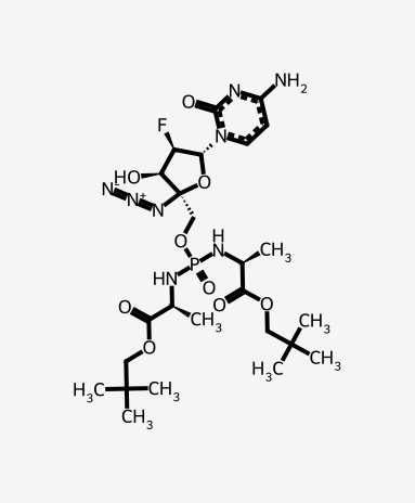 C[C@H](NP(=O)(N[C@@H](C)C(=O)OCC(C)(C)C)OC[C@@]1(N=[N+]=[N-])O[C@@H](n2ccc(N)nc2=O)[C@H](F)[C@@H]1O)C(=O)OCC(C)(C)C